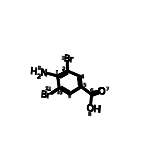 Nc1c(Br)cc(C(=O)O)cc1Br